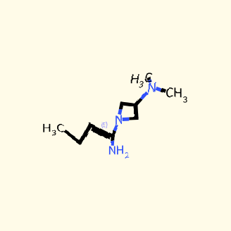 CC/C=C(\N)N1CC(N(C)C)C1